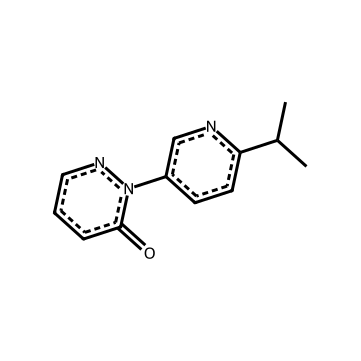 CC(C)c1ccc(-n2ncccc2=O)cn1